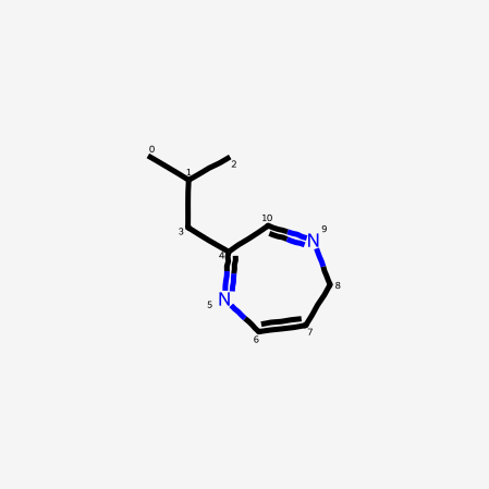 CC(C)CC1=NC=CCN=C1